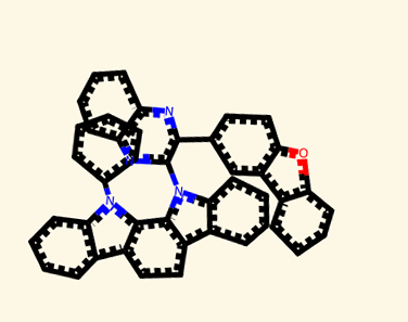 c1ccc(-n2c3ccccc3c3ccc4c5ccccc5n(-c5nc6ccccc6nc5-c5ccc6oc7ccccc7c6c5)c4c32)cc1